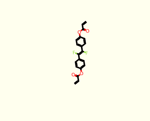 C=CC(=O)Oc1ccc(C(F)=C(F)c2ccc(OC(=O)C=C)cc2)cc1